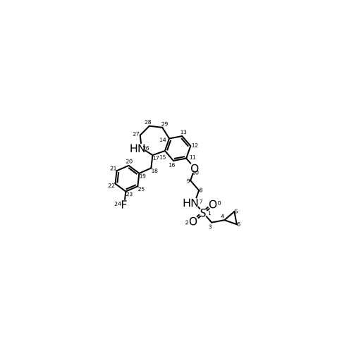 O=S(=O)(CC1CC1)NCCOc1ccc2c(c1)C(Cc1cccc(F)c1)NCCC2